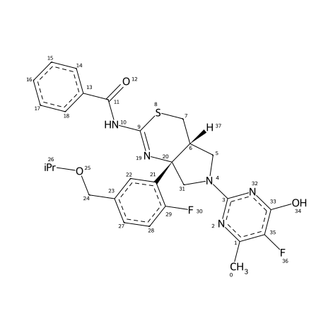 Cc1nc(N2C[C@H]3CSC(NC(=O)c4ccccc4)=N[C@@]3(c3cc(COC(C)C)ccc3F)C2)nc(O)c1F